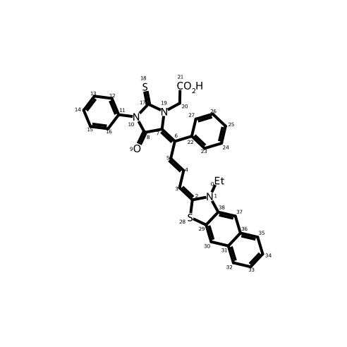 CCN1C(=CC=CC(=C2C(=O)N(c3ccccc3)C(=S)N2CC(=O)O)c2ccccc2)Sc2cc3ccccc3cc21